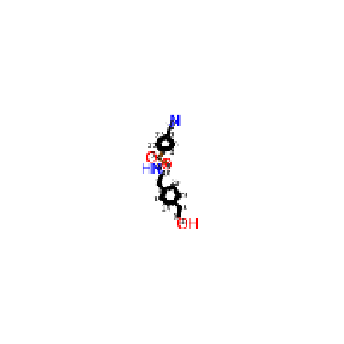 N#Cc1ccc(S(=O)(=O)NCCc2ccc(CCO)cc2)cc1